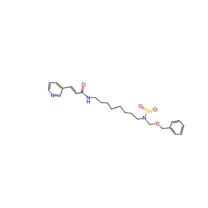 O=C(C=Cc1cccnc1)NCCCCCCCCN(COCc1ccccc1)[SH](=O)=O